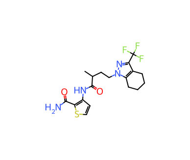 CC(CCn1nc(C(F)(F)F)c2c1CCCC2)C(=O)Nc1ccsc1C(N)=O